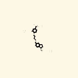 COc1cc(C(N)=S)ccc1OCCCOc1ccc2c(c1)CC[C@H]2CC(=O)O